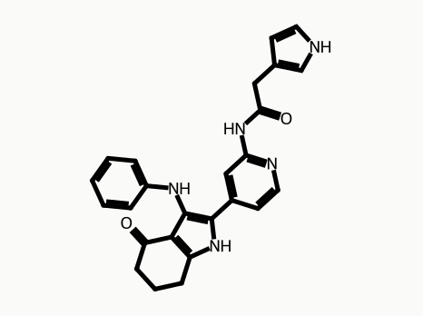 O=C(Cc1cc[nH]c1)Nc1cc(-c2[nH]c3c(c2Nc2ccccc2)C(=O)CCC3)ccn1